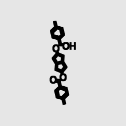 Cc1ccc(C(=O)OC2CC3CC(OC(O)c4ccc(C)cc4)CC3C2)cc1